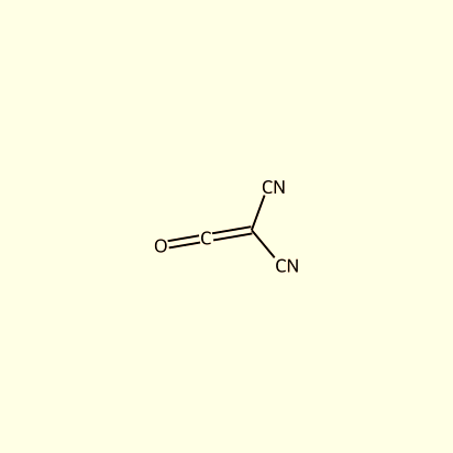 N#CC(=C=O)C#N